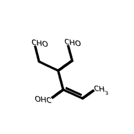 C/C=C(/C=O)C(CC=O)CC=O